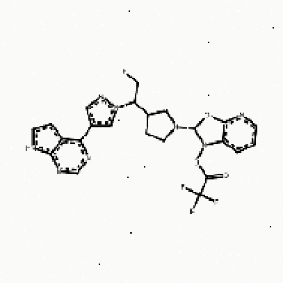 O=C(ON1c2cccnc2OC1N1CCC(C(CF)n2cc(-c3ncnc4[nH]ccc34)cn2)C1)C(F)(F)F